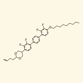 C=CCCC1OCC(c2ccc(-c3ccc(-c4ccc(OCCCCCCCCC)c(F)c4F)cc3)c(F)c2F)CO1